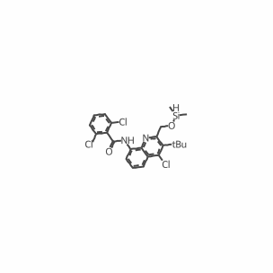 C[SiH](C)OCc1nc2c(NC(=O)c3c(Cl)cccc3Cl)cccc2c(Cl)c1C(C)(C)C